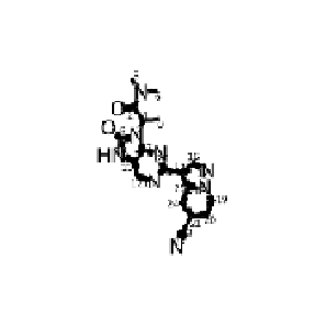 CC(C(=O)N(C)C)n1c(=O)[nH]c2cnc(-c3cnn4ccc(C#N)cc34)nc21